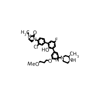 COCCCOc1cc(-c2cc(F)cc(-c3ccc(-n4ccn(C)c4=O)c(Cl)c3)c2O)cc(N2CCN[C@H](C)C2)n1